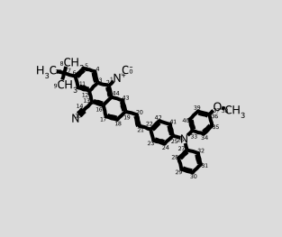 [C-]#[N+]c1c2ccc(C(C)(C)C)cc2c(C#N)c2ccc(C=Cc3ccc(N(c4ccccc4)c4ccc(OC)cc4)cc3)cc12